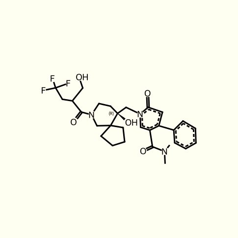 CN(C)C(=O)c1cn(C[C@@]2(O)CCN(C(=O)C(CO)CC(F)(F)F)CC23CCCC3)c(=O)cc1-c1ccccc1